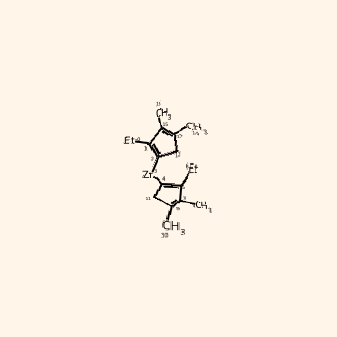 CCC1=[C]([Zr][C]2=C(CC)C(C)=C(C)C2)CC(C)=C1C